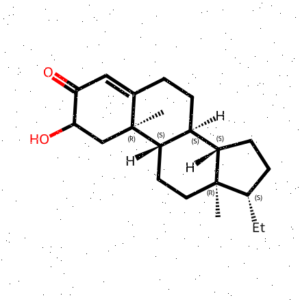 CC[C@H]1CC[C@H]2[C@@H]3CCC4=CC(=O)C(O)C[C@]4(C)[C@H]3CC[C@]12C